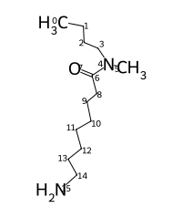 CCCCN(C)C(=O)CCCCCCCN